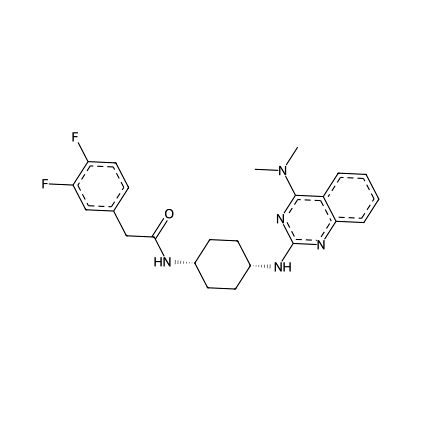 CN(C)c1nc(N[C@H]2CC[C@@H](NC(=O)Cc3ccc(F)c(F)c3)CC2)nc2ccccc12